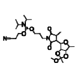 COC1(C)OC2C(C)OC(C3C(=O)N(CCCOP(OCCC#N)N(C(C)C)C(C)C)C(=O)C3C)C2O1